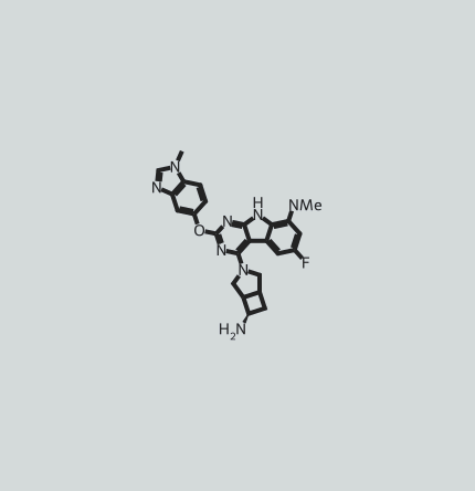 CNc1cc(F)cc2c1[nH]c1nc(Oc3ccc4c(c3)ncn4C)nc(N3CC4C[C@@H](N)C4C3)c12